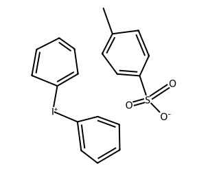 Cc1ccc(S(=O)(=O)[O-])cc1.c1ccc([I+]c2ccccc2)cc1